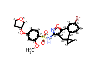 COc1cc(OC2CCOC2)ccc1S(=O)(=O)Nc1noc2c1CC1(CC1)c1ccc(Br)cc1-2